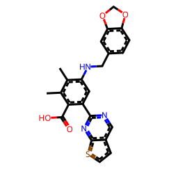 Cc1c(NCc2ccc3c(c2)OCO3)cc(-c2ncc3ccsc3n2)c(C(=O)O)c1C